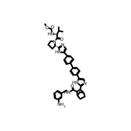 COC(=O)N[C@H](C(=O)N1CCC[C@H]1c1ncc(-c2ccc(-c3ccc(-c4cnc(C5C6CCC(C6)C5C(=O)NCc5cccc(N)c5)[nH]4)cc3)cc2)[nH]1)C(C)C